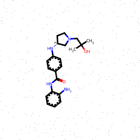 CC(C)(O)CN1CC[C@@H](Nc2ccc(C(=O)Nc3ccccc3N)cc2)C1